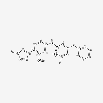 C=C(/N=C(\C=C(\C)N)Cc1ccccc1)Nc1ccc(-c2cnn(C)c2)c(OC)c1